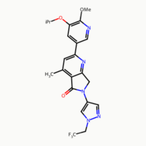 COc1ncc(-c2cc(C)c3c(n2)CN(c2cnn(CC(F)(F)F)c2)C3=O)cc1OC(C)C